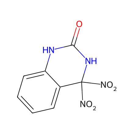 O=C1Nc2ccccc2C([N+](=O)[O-])([N+](=O)[O-])N1